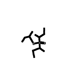 CCC(C)OP(=O)(C(C)CC)C(C)CC